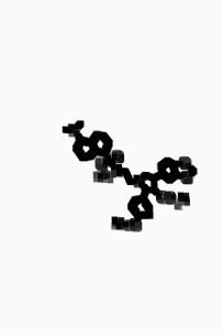 CCCN(CCN1CC(c2ccc3c(c2)OCO3)C(C(=O)O)C1c1ccc(OC)cc1)S(=O)(=O)c1cccc2c(N(C)C)cccc12